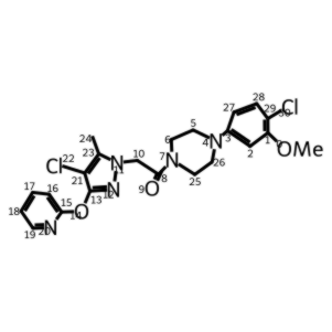 COc1cc(N2CCN(C(=O)Cn3nc(Oc4ccccn4)c(Cl)c3C)CC2)ccc1Cl